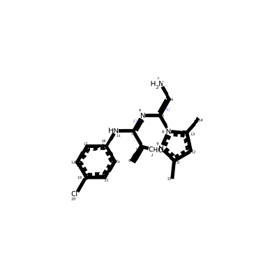 C=C(C=O)/C(=N\C(=C/N)n1nc(C)cc1C)Nc1ccc(Cl)cc1